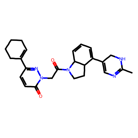 CC1=NC=C(C2=CC=CC3C2CCN3C(=O)Cn2nc(C3=CCCCC3)ccc2=O)CN1